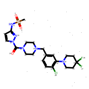 CS(=O)(=O)Nc1ccn(C(=O)N2CCN(Cc3ccc(Cl)c(N4CCC(F)(F)CC4)c3)CC2)n1